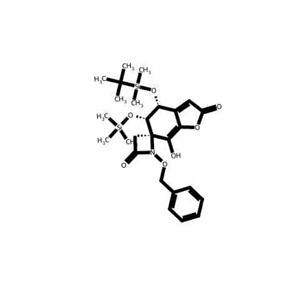 CC(C)(C)[Si](C)(C)O[C@@H]1C2=CC(=O)OC2=C(O)[C@]2(CC(=O)N2OCc2ccccc2)[C@@H]1O[Si](C)(C)C